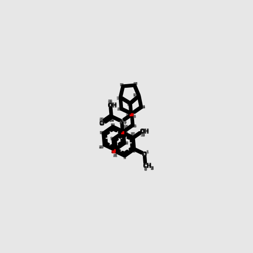 COc1cccc(N(CC2C3CCC2CN(Cc2ccccc2)C3)C(=O)O)c1O